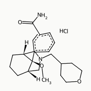 CO[C@]1(c2cccc(C(N)=O)c2)[C@@H]2CCC[C@H]1CN(CC1CCOCC1)C2.Cl